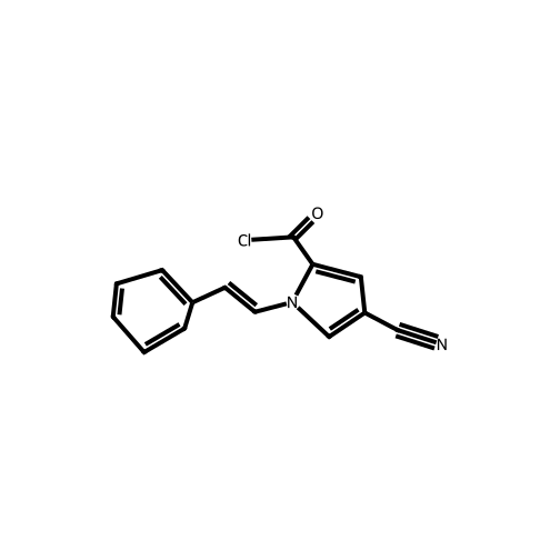 N#Cc1cc(C(=O)Cl)n(C=Cc2ccccc2)c1